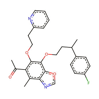 CC(=O)c1c(OCCc2ccccn2)c(OCCC(C)c2ccc(F)cc2)c2ocnc2c1C